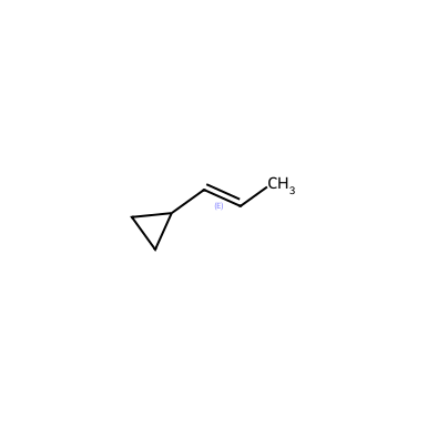 C/C=C/C1CC1